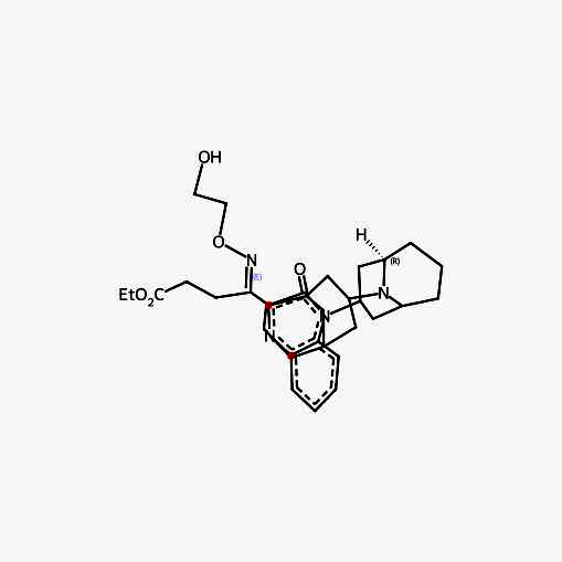 CCOC(=O)CC/C(=N\OCCO)c1nc2ccccc2n(C2CC3CCC[C@H](C2)N3C2CC3CCCC(C3)C2)c1=O